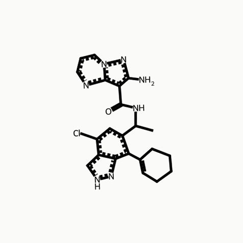 CC(NC(=O)c1c(N)nn2cccnc12)c1cc(Cl)c2c[nH]nc2c1C1=CCCCC1